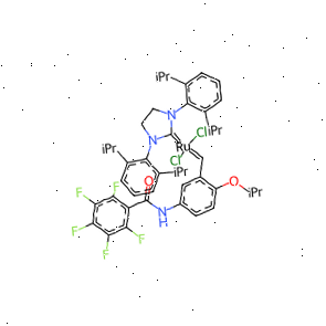 CC(C)Oc1ccc(NC(=O)c2c(F)c(F)c(F)c(F)c2F)cc1[CH]=[Ru]([Cl])([Cl])=[C]1N(c2c(C(C)C)cccc2C(C)C)CCN1c1c(C(C)C)cccc1C(C)C